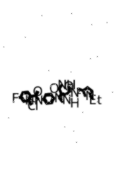 CCN1CCC(CNC(=O)c2ncn(-c3ccc(NC(=O)c4ccc(F)cc4Cl)cc3)c2C(N)=O)C1